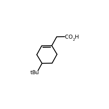 CC(C)(C)C1CC=C(CC(=O)O)CC1